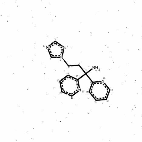 NC(CCn1cncn1)(c1ccccn1)c1ccccn1